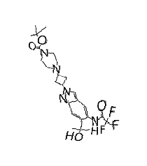 CC(C)(C)OC(=O)N1CCN(C2CC(n3cc4cc(NC(=O)C(F)(F)F)c(C(C)(C)O)cc4n3)C2)CC1